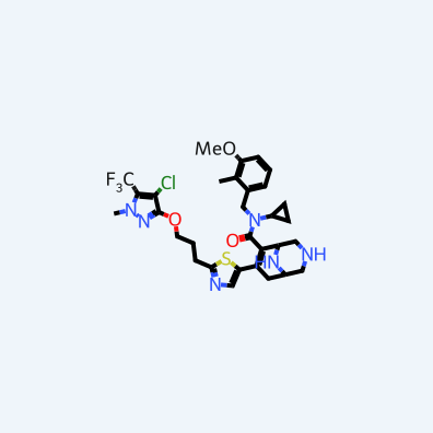 COc1cccc(CN(C(=O)C2=C(c3cnc(CCCOc4nn(C)c(C(F)(F)F)c4Cl)s3)CC3CNCC2N3)C2CC2)c1C